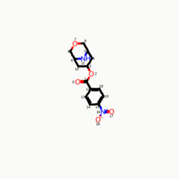 O=C(OC1CC2COCC(C1)N2)c1ccc([N+](=O)[O-])cc1